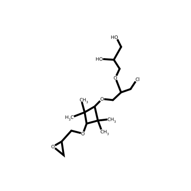 CC1(C)C(OCC(CCl)OCC(O)CO)C(C)(C)C1OCC1CO1